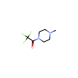 CN1CCN(C(=O)C(F)(F)F)CC1